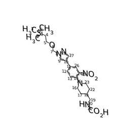 C[Si](C)(C)CCOCn1cc(-c2ccc(N3CCC(CNC(=O)O)CC3)c([N+](=O)[O-])c2)cn1